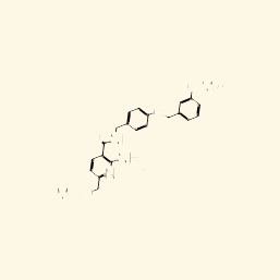 COCc1ccc(C(=O)NCc2ccc(OCc3cccc(OC)c3)cc2)c(N)n1